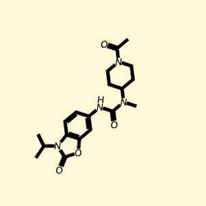 CC(=O)N1CCC(N(C)C(=O)Nc2ccc3c(c2)oc(=O)n3C(C)C)CC1